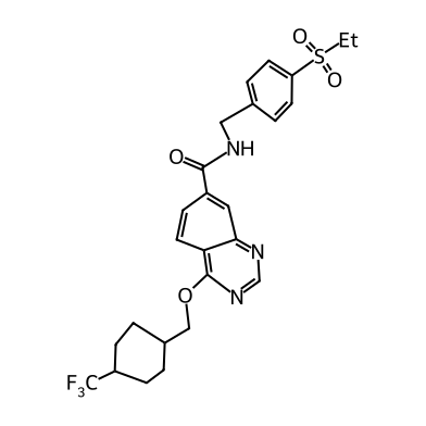 CCS(=O)(=O)c1ccc(CNC(=O)c2ccc3c(OCC4CCC(C(F)(F)F)CC4)ncnc3c2)cc1